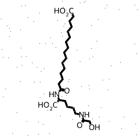 O=C(O)CCCCCCCCCCCCCCC(=O)NC(CCCCNC(=O)CO)C(=O)O